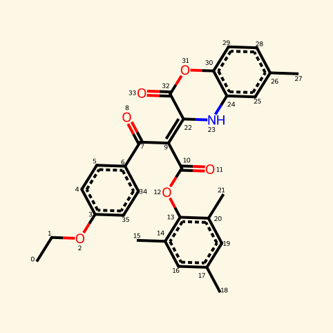 CCOc1ccc(C(=O)C(C(=O)Oc2c(C)cc(C)cc2C)=C2Nc3cc(C)ccc3OC2=O)cc1